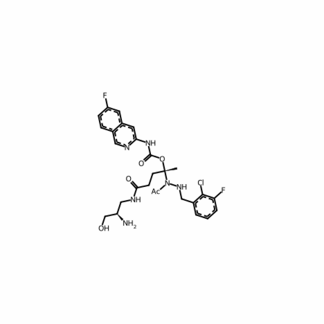 CC(=O)N(NCc1cccc(F)c1Cl)[C@](C)(CCC(=O)NC[C@@H](N)CO)OC(=O)Nc1cc2cc(F)ccc2cn1